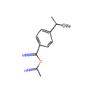 COC(C)c1ccc(C(=N)OC(C)=N)cc1